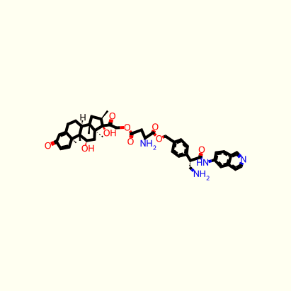 C[C@@H]1C[C@@]2(C)[C@@H]3CCC4=CC(=O)C=C[C@]4(C)[C@@]3(C)[C@@H](O)C[C@]2(C)[C@@]1(O)C(=O)COC(=O)C[C@H](N)C(=O)OCc1ccc([C@@H](CN)C(=O)Nc2ccc3cnccc3c2)cc1